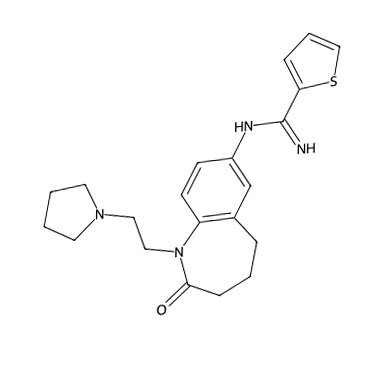 N=C(Nc1ccc2c(c1)CCCC(=O)N2CCN1CCCC1)c1cccs1